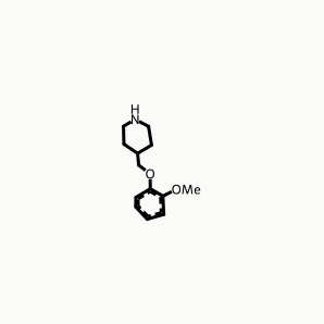 COc1ccccc1OCC1CCNCC1